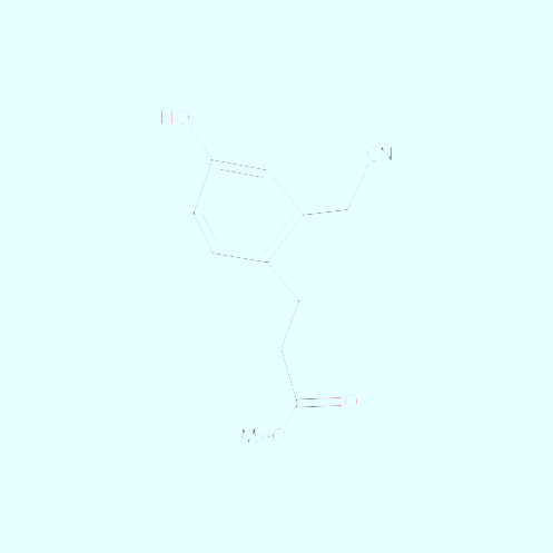 COC(=O)CCc1ccc(O)cc1CC#N